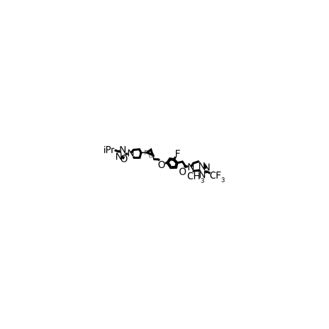 CC(C)c1noc(N2CCC([C@H]3C[C@H]3CCOc3ccc(CC(=O)N4CCn5nc(C(F)(F)F)nc5C4C)c(F)c3)CC2)n1